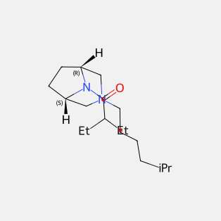 CCC(CC)C(=O)N1[C@@H]2CC[C@H]1CN(CCCCC(C)C)C2